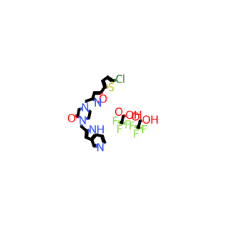 O=C(O)C(F)(F)F.O=C(O)C(F)(F)F.O=C1CN(Cc2cc(-c3ccc(Cl)s3)on2)CCN1Cc1cc2cnccc2[nH]1